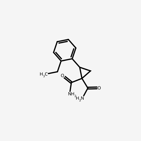 CCc1ccccc1C1CC1(C(N)=O)C(N)=O